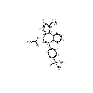 CC(=O)C[C@@H]1N=C(c2ccc(C(C)(C)N)cc2)c2ccccc2-c2c(C)noc21